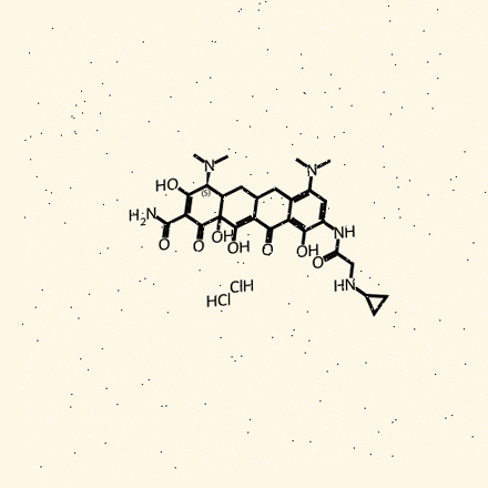 CN(C)c1cc(NC(=O)CNC2CC2)c(O)c2c1CC1CC3[C@H](N(C)C)C(O)=C(C(N)=O)C(=O)C3(O)C(O)=C1C2=O.Cl.Cl